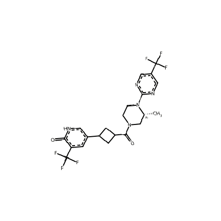 C[C@@H]1CN(C(=O)C2CC(c3c[nH]c(=O)c(C(F)(F)F)c3)C2)CCN1c1ncc(C(F)(F)F)cn1